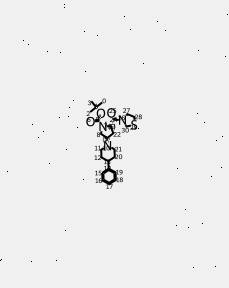 CC(C)(C)OC(=O)N1C[C@@H](N2CCC(c3ccccc3)CC2)C[C@H]1C(=O)N1CCSC1